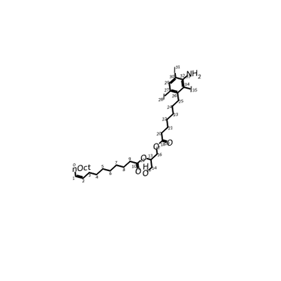 CCCCCCCC/C=C\CCCCCCCC(=O)OC(CO)COC(=O)CCCCCCc1c(I)cc(I)c(N)c1I